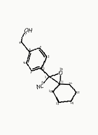 N#CC1(c2ccc(CO)cc2)OC12CCCCC2